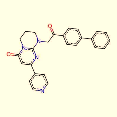 O=C(CN1CCCn2c1nc(-c1ccncc1)cc2=O)c1ccc(-c2ccccc2)cc1